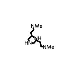 CNCCC1CNCC(CCNC)N1